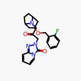 O=C(CN1C2CCC1CC(OCc1ccccc1F)C2)Cn1nc2ccccn2c1=O